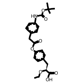 CCO[C@@H](Cc1ccc(OC(=O)Cc2ccc(NC(=O)OC(C)(C)C)cc2)cc1)C(=O)O